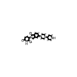 O=C1CCC(N2Cc3cc(N4CCN(C5CCNCC5)CC4)ccc3C2=O)C(=O)N1